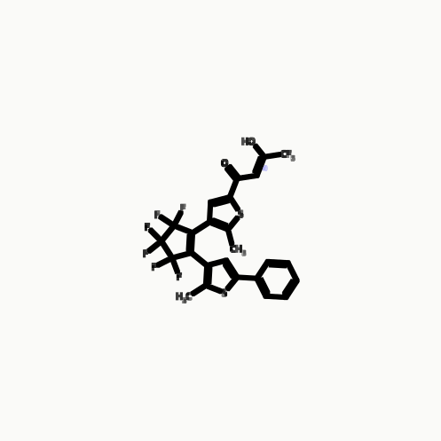 Cc1sc(C(=O)/C=C(\O)C(F)(F)F)cc1C1=C(c2cc(-c3ccccc3)sc2C)C(F)(F)C(F)(F)C1(F)F